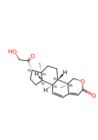 C[C@]12CC[C@H]3[C@@H](C=CC4=CC(=O)OC[C@@]43C)[C@@H]1CC[C@@H]2C(=O)CO